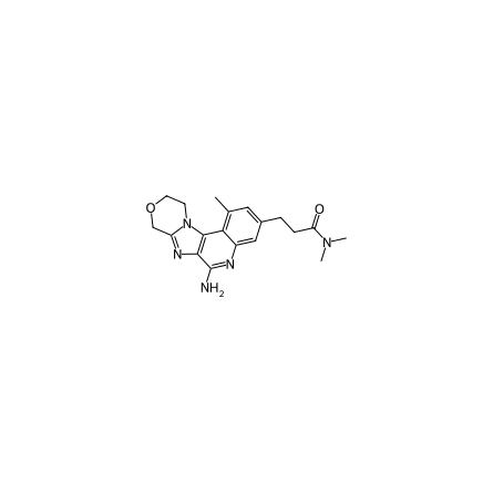 Cc1cc(CCC(=O)N(C)C)cc2nc(N)c3nc4n(c3c12)CCOC4